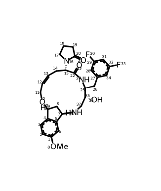 COc1ccc2c(c1)[C@@H]1C[C@H]2OC/C=C\C[C@H](N2CCCC2=O)C(=O)N[C@@H](Cc2cc(F)cc(F)c2)[C@H](O)CN1